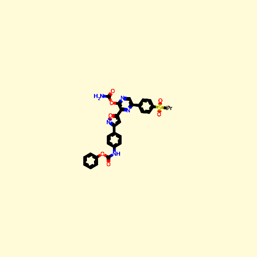 CC(C)S(=O)(=O)c1ccc(-c2cnc(OC(N)=O)c(-c3cc(-c4ccc(NC(=O)Oc5ccccc5)cc4)no3)n2)cc1